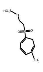 CC1=CCC(S(=O)(=O)CCOS(=O)(=O)O)=CC=C1